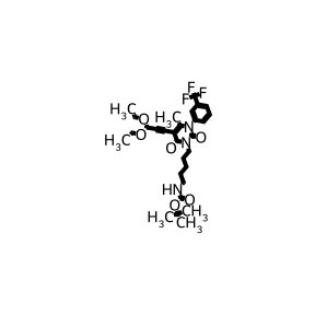 CCOC(C#Cc1c(C)n(-c2cccc(C(F)(F)F)c2)c(=O)n(CCCCCNC(=O)OC(C)(C)C)c1=O)OCC